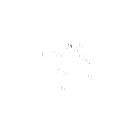 C[C@H]1CC[C@H](c2ccc3sc(C4CCN(C5COC5)CC4)nc3c2)N(C(=O)C(=O)OCC(F)(F)F)C1.C[C@H]1CC[C@H](c2ccc3sc(C4CCN(C5COC5)CC4)nc3c2)N(C(=O)C(N)=O)C1